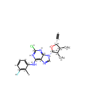 C#C[C@H]1O[C@@H](n2cnc3c(Nc4cccc(F)c4C)nc(Cl)nc32)[C@H](OC(C)=O)[C@@H]1OC(C)=O